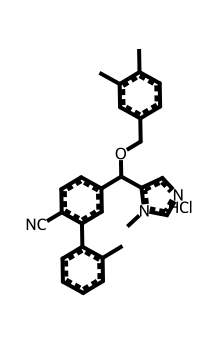 Cc1ccc(COC(c2ccc(C#N)c(-c3ccccc3C)c2)c2cncn2C)cc1C.Cl